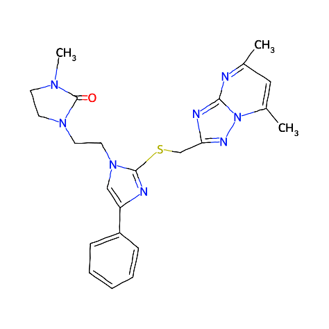 Cc1cc(C)n2nc(CSc3nc(-c4ccccc4)cn3CCN3CCN(C)C3=O)nc2n1